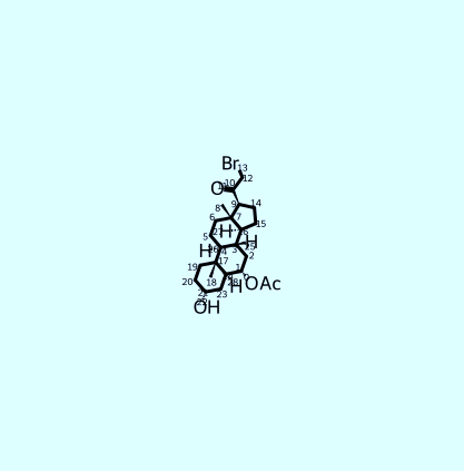 CC(=O)O[C@H]1C[C@@H]2[C@H](CC[C@]3(C)[C@@H](C(=O)CBr)CC[C@@H]23)[C@@]2(C)CC[C@@H](O)C[C@H]12